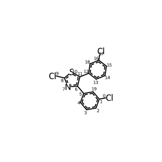 Clc1cccc(-c2nc(Cl)sc2-c2cccc(Cl)c2)c1